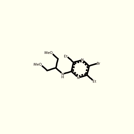 CCc1nc(NC(COC)COC)c(CC)nc1Br